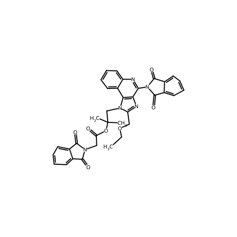 CCOCc1nc2c(N3C(=O)c4ccccc4C3=O)nc3ccccc3c2n1CC(C)(C)OC(=O)CN1C(=O)c2ccccc2C1=O